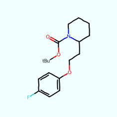 CC(C)(C)OC(=O)N1CCCCC1CCOc1ccc(F)cc1